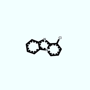 Clc1cccn2c1nc1ccccc12